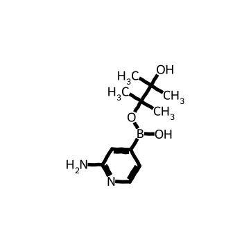 CC(C)(O)C(C)(C)OB(O)c1ccnc(N)c1